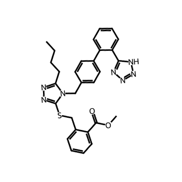 CCCCc1nnc(SCc2ccccc2C(=O)OC)n1Cc1ccc(-c2ccccc2-c2nnn[nH]2)cc1